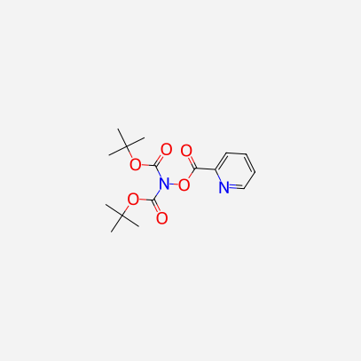 CC(C)(C)OC(=O)N(OC(=O)c1ccccn1)C(=O)OC(C)(C)C